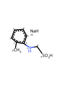 Cc1ccccc1NCS(=O)(=O)O.[NaH]